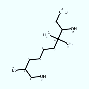 CCC(CO)CCCCC(C)(C)C(O)CC=O